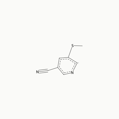 CSc1[c]ncc(C#N)c1